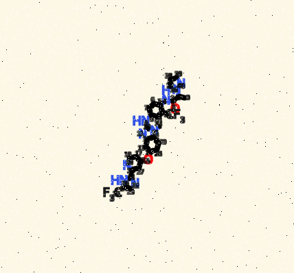 C=C(C(=O)Nc1ccc(Nc2nc3cc(Oc4ccnc(-c5ncc(C(F)(F)F)[nH]5)c4)ccc3n2C)cc1C(F)(F)F)n1cccn1